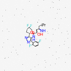 CC(C)CC(=N)/C=C(\O)C(=O)Nc1c(-c2cc(F)ccc2F)ncnc1C1CCC(F)(F)CO1